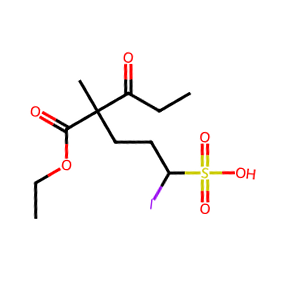 CCOC(=O)C(C)(CCC(I)S(=O)(=O)O)C(=O)CC